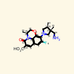 C[C@@H]1CN(c2c(F)cc3cc(C(=O)O)c(=O)n4c3c2OC[C@@H]4C)C[C@@]1(C)CN